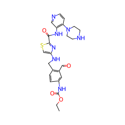 CCOC(=O)Nc1ccc(CNc2csc(C(=O)Nc3cnccc3N3CCNCC3)n2)c(C=O)c1